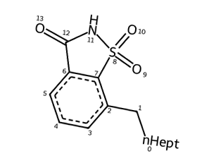 CCCCCCCCc1cccc2c1S(=O)(=O)NC2=O